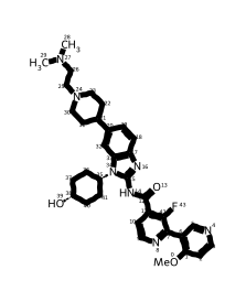 COc1ccncc1-c1nccc(C(=O)Nc2nc3ccc(C4CCN(CCN(C)C)CC4)cc3n2[C@H]2CC[C@@H](O)CC2)c1F